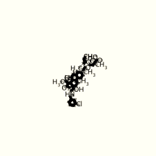 CCCC[C@H](OC(=O)CC(C)(C)C(=O)O)C(C)(C)[C@@H]1CC[C@]2(C)[C@H](CC[C@@H]3C4=C(C(C)C)C(=O)C[C@]4([C@H](O)CNCc4cccc(Cl)c4)CC[C@]32C)C1